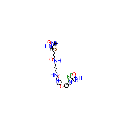 O=C(CCCC[C@@H]1SC[C@@H]2NC(=O)N[C@@H]21)NCCCCCCNC(=O)CN1CCC(Oc2ccc3c(c2)CN(c2cn[nH]c(=O)c2C(F)(F)F)C3)CC1